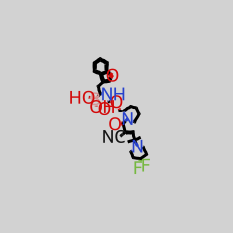 CC(C)(C=C(C#N)C(=O)N1CCCC[C@@H]1COC(=O)NC(Cc1coc2ccccc12)B(O)O)N1CCC(F)(F)CC1